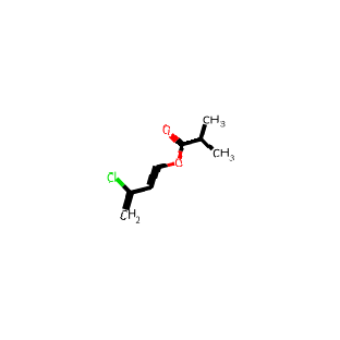 C=C(Cl)C=COC(=O)C(C)C